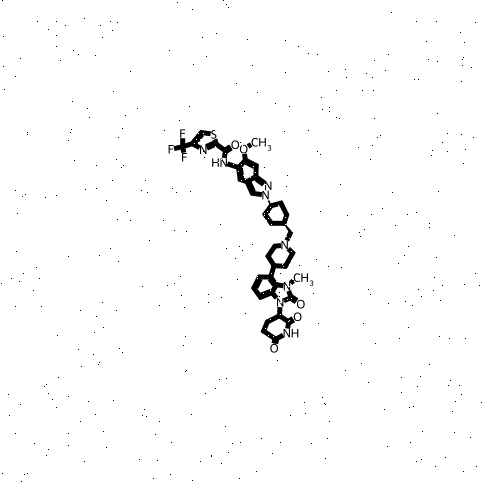 COc1cc2nn([C@H]3CC[C@H](CN4CCC(c5cccc6c5n(C)c(=O)n6C5CCC(=O)NC5=O)CC4)CC3)cc2cc1NC(=O)c1nc(C(F)(F)F)cs1